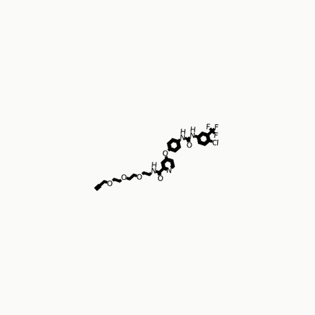 C#CCOCCOCCOCCNC(=O)c1cc(Oc2ccc(NC(=O)Nc3ccc(Cl)c(C(F)(F)F)c3)cc2)ccn1